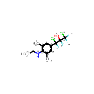 Cc1cc(C(F)(Cl)C(O)(F)C(F)(F)Cl)cc(C)c1NCC(=O)O